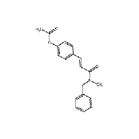 CC(=O)Oc1ccc(C=CC(=O)N(C)Cc2cccnc2)cc1